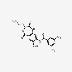 COc1cc2c(cc1NC(=O)c1cc(C(F)(F)F)cc(C(F)(F)F)c1)NC(=O)C(CCC(=O)O)NC2=O